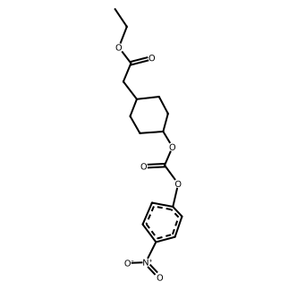 CCOC(=O)CC1CCC(OC(=O)Oc2ccc([N+](=O)[O-])cc2)CC1